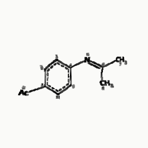 CC(=O)c1ccc(N=C(C)C)cc1